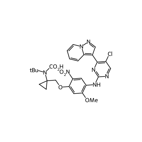 COc1cc(OCC2(N(C(=O)O)C(C)(C)C)CC2)c([N+](=O)[O-])cc1Nc1ncc(Cl)c(-c2cnn3ccccc23)n1